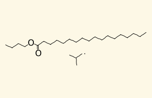 CCCCCCCCCCCCCCCCCC(=O)OCCCC.[CH2]C(C)C